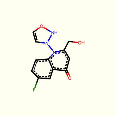 O=c1cc(CO)n(N2C=CON2)c2ccc(F)cc12